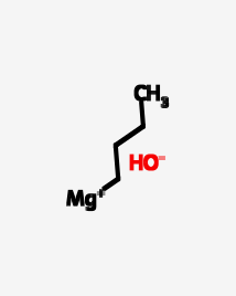 CCC[CH2][Mg+].[OH-]